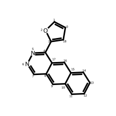 c1coc(-c2nncc3cc4ccccc4cc23)c1